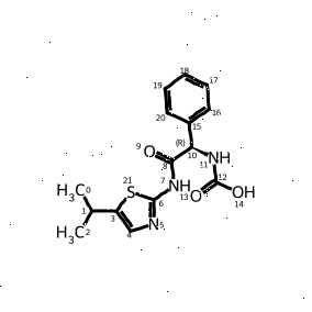 CC(C)c1cnc(NC(=O)[C@H](NC(=O)O)c2ccccc2)s1